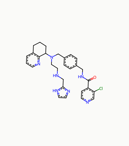 O=C(NCc1ccc(CN(CCNCc2ncc[nH]2)C2CCCc3cccnc32)cc1)c1ccncc1Cl